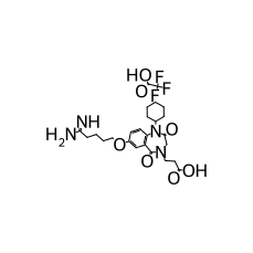 N=C(N)CCCCOc1ccc2c(c1)C(=O)N(CCC(=O)O)CC(=O)N2C1CCCCC1.O=C(O)C(F)(F)F